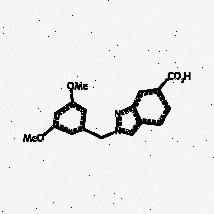 COc1cc(Cn2cc3ccc(C(=O)O)cc3n2)cc(OC)c1